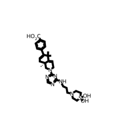 CC1(C)C(c2ccc(C(=O)O)cc2)=CC[C@]2(C)CN(c3ncnc(NCCCN4CCS(O)(O)CC4)n3)CC=C12